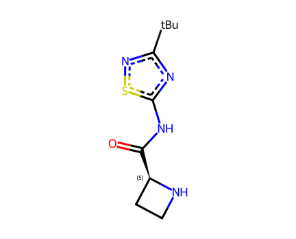 CC(C)(C)c1nsc(NC(=O)[C@@H]2CCN2)n1